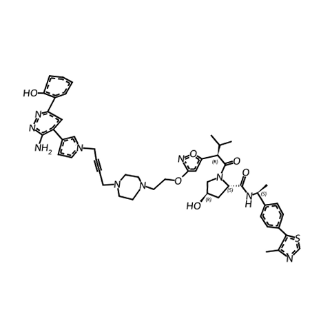 Cc1ncsc1-c1ccc([C@H](C)NC(=O)[C@@H]2C[C@@H](O)CN2C(=O)[C@@H](c2cc(OCCN3CCN(CC#CCn4ccc(-c5cc(-c6ccccc6O)nnc5N)c4)CC3)no2)C(C)C)cc1